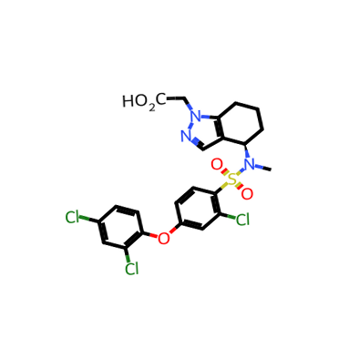 CN([C@@H]1CCCc2c1cnn2CC(=O)O)S(=O)(=O)c1ccc(Oc2ccc(Cl)cc2Cl)cc1Cl